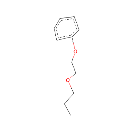 CCCOCCOc1ccccc1